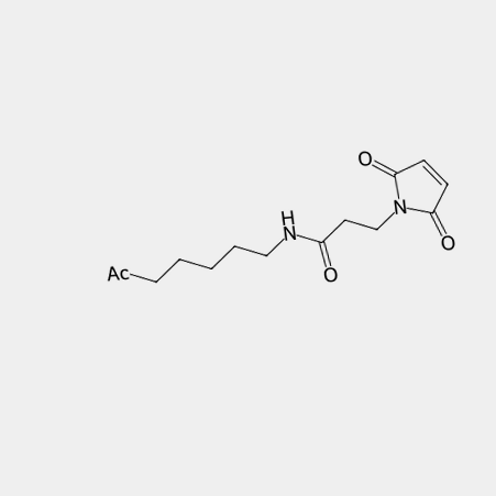 CC(=O)CCCCCNC(=O)CCN1C(=O)C=CC1=O